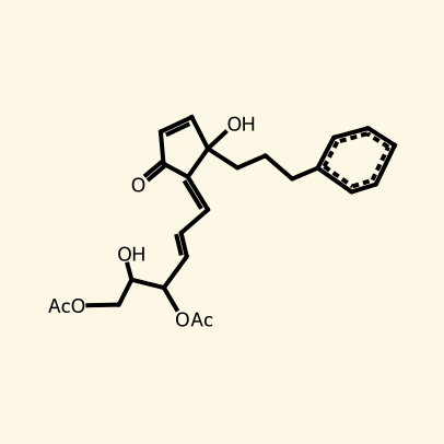 CC(=O)OCC(O)C(C=CC=C1C(=O)C=CC1(O)CCCc1ccccc1)OC(C)=O